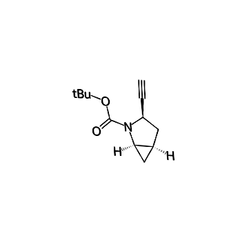 C#C[C@H]1C[C@H]2C[C@H]2N1C(=O)OC(C)(C)C